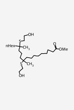 CCCCCCC(C)(CCCC(C)(CCCCCCCCC(=O)OC)SCCO)SCCO